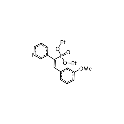 CCOP(=O)(OCC)C(=Cc1cccc(OC)c1)c1cccnc1